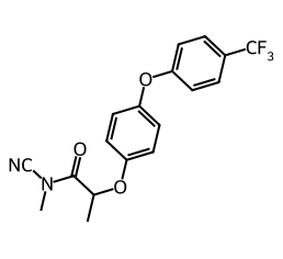 CC(Oc1ccc(Oc2ccc(C(F)(F)F)cc2)cc1)C(=O)N(C)C#N